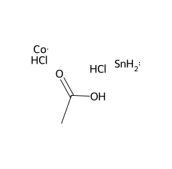 CC(=O)O.Cl.Cl.[Co].[SnH2]